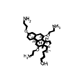 C[C@H](CCCO)[C@H]1CC[C@H]2C3[C@H](OCCN)CC4C[C@H](OCCN)CC[C@]4(C)[C@H]3C[C@H](OCCN)C12C